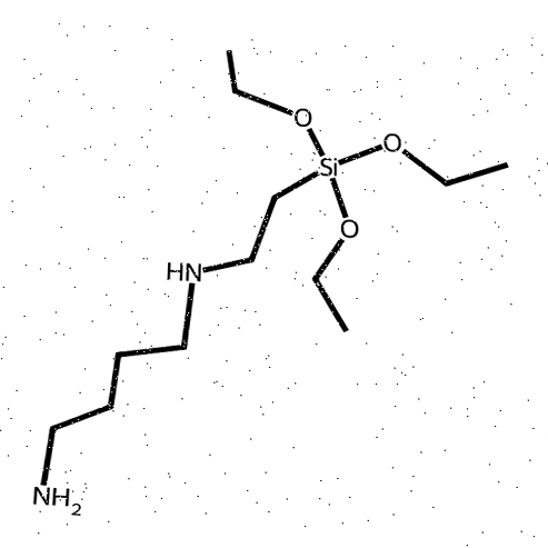 CCO[Si](CCNCCCCN)(OCC)OCC